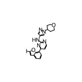 Ic1cc2cccc(-c3ccnc(Nc4cnn(C5CCOCC5)c4)n3)c2o1